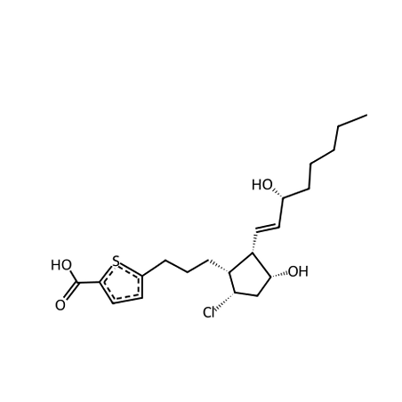 CCCCC[C@@H](O)C=C[C@H]1[C@@H](CCCc2ccc(C(=O)O)s2)[C@@H](Cl)C[C@H]1O